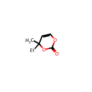 CCC1(C)C=COC(=O)O1